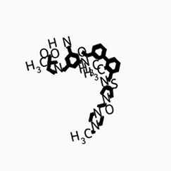 CCN1CCN(CC(=O)N2Cc3nc(-c4cccc(-c5cccc(-c6nc7cc(CN8CCC(C)(C(=O)O)C8)cc(C#N)c7o6)c5C)c4C)sc3C2)CC1